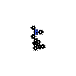 c1ccc(-c2cc(-c3cccc(-c4ccc5c6c(ccc5c4)-c4c(ccc5ccccc45)C64c5ccccc5-c5ccccc54)c3)nc(-c3ccccc3)n2)cc1